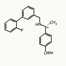 COc1ccc([C@@H](C)NCc2cccc(-c3ccccc3F)c2)cc1